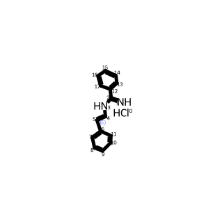 Cl.N=C(N/C=C/c1ccccc1)c1ccccc1